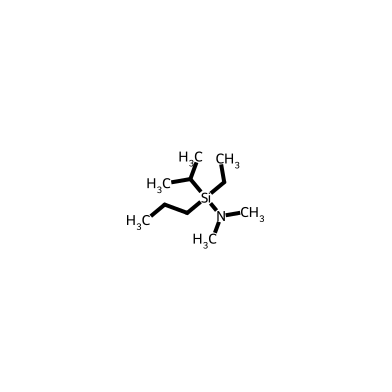 CCC[Si](CC)(C(C)C)N(C)C